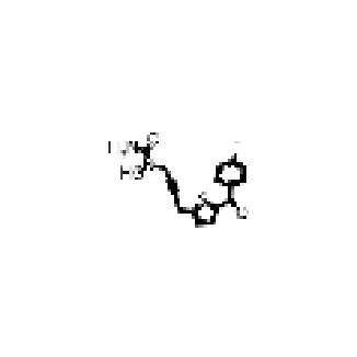 NC(=O)N(O)CC#CCc1ccc(C(=O)c2ccc(F)cc2)s1